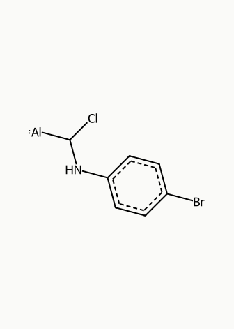 [Al][CH](Cl)Nc1ccc(Br)cc1